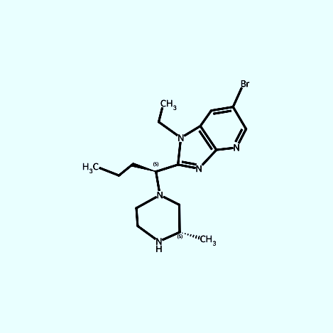 CCC[C@@H](c1nc2ncc(Br)cc2n1CC)N1CCN[C@@H](C)C1